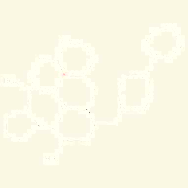 CC(CC(Cc1ccc(-c2ccccc2)cc1)N(Cc1ccccc1)Cc1ccccc1)C(=O)N1CCCC1CO